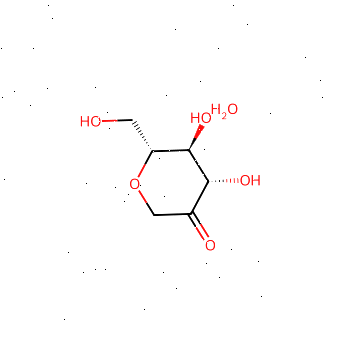 O.O=C1CO[C@H](CO)[C@@H](O)[C@@H]1O